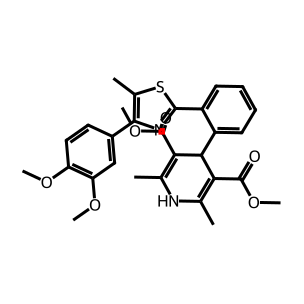 COC(=O)C1=C(C)NC(C)=C(C(=O)OC)C1c1ccccc1-c1nc(-c2ccc(OC)c(OC)c2)c(C)s1